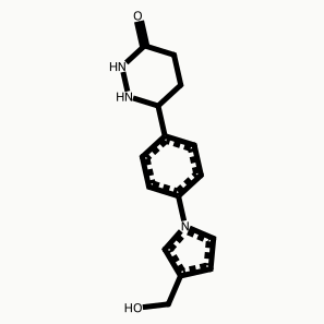 O=C1CCC(c2ccc(-n3ccc(CO)c3)cc2)NN1